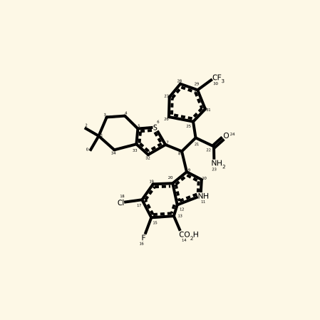 CC1(C)CCc2sc(C(c3c[nH]c4c(C(=O)O)c(F)c(Cl)cc34)C(C(N)=O)c3cccc(C(F)(F)F)c3)cc2C1